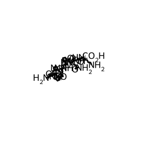 NCCCC[C@H](NC(=O)CNC(=O)[C@H](CCC(N)=O)NC(=O)[C@@H]1CCCN1C(=O)CNC(=O)CNC(=O)[C@@H]1CCCN1C(=O)[C@H](Cc1c[nH]cn1)NC(=O)CN)C(=O)O